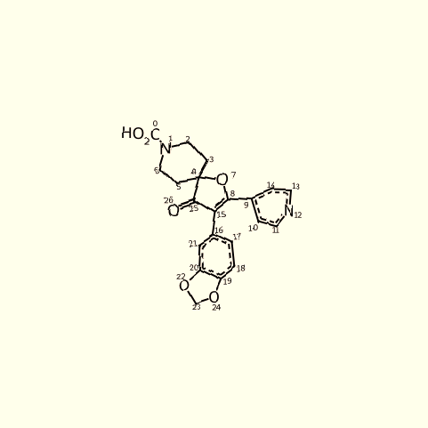 O=C(O)N1CCC2(CC1)OC(c1ccncc1)=C(c1ccc3c(c1)OCO3)C2=O